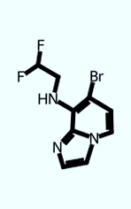 FC(F)CNc1c(Br)ccn2ccnc12